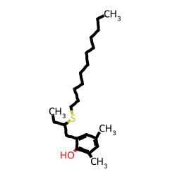 CCCCCCCCCCCCSC(CC)Cc1cc(C)cc(C)c1O